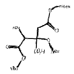 CCCCCCOC(=O)CC(OCCCC)(C(=O)O)C(CCCC)C(=O)OCCCC